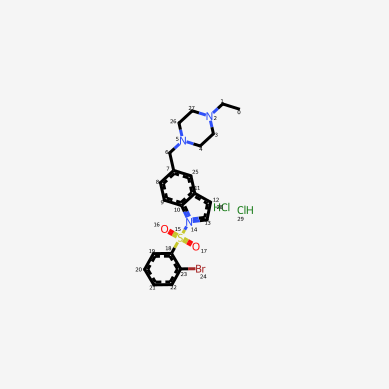 CCN1CCN(Cc2ccc3c(ccn3S(=O)(=O)c3ccccc3Br)c2)CC1.Cl.Cl